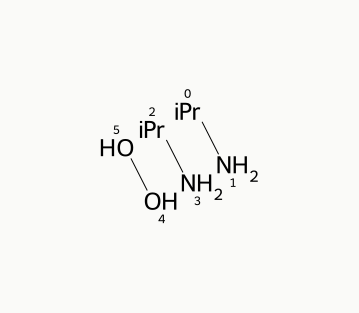 CC(C)N.CC(C)N.OO